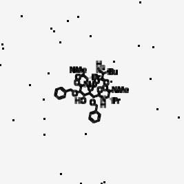 CC[C@H](C)[C@H](N)C(=O)OCO[C@H]([C@@H](O)[C@@H](OCc1ccccc1)C(=O)N[C@H](C(=O)NC)C(C)C)[C@@H](OCc1ccccc1)C(=O)N[C@H](C(=O)NC)C(C)C